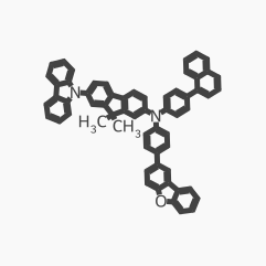 CC1(C)c2cc(N(c3ccc(-c4ccc5oc6ccccc6c5c4)cc3)c3ccc(-c4cccc5ccccc45)cc3)ccc2-c2ccc(-n3c4ccccc4c4ccccc43)cc21